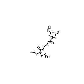 CCCN(CCO)C(=O)CCCCC(=O)N(CCC)CCN=O